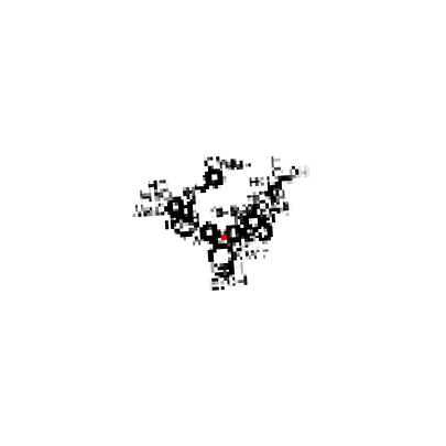 CC[C@]1(O)C[C@H]2C[N@](CCc3c([nH]c4ccccc34)[C@@](C(=O)OC)(c3cc4c(cc3OC)N(C=O)[C@H]3[C@@](O)(C(=O)OC)[C@H](OC(C)=O)[C@]5(CC)C=CCN6CC[C@]43[C@@H]65)C2)C1.COc1ccc(CCN(C)CCCC2(c3ccc(OC)c(OC)c3)S(=O)(=O)CCCS2(=O)=O)cc1OC.Cl.O=C1O[C@H]([C@@H](O)CO)C(O)=C1O